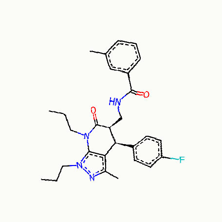 CCCN1C(=O)[C@@H](CNC(=O)c2cccc(C)c2)[C@@H](c2ccc(F)cc2)c2c(C)nn(CCC)c21